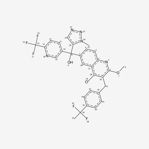 COc1nc2ccc(C(O)(c3ccc(C(F)(F)F)nc3)c3cnnn3C)cc2c(Cl)c1Cc1ccc(C(C)(F)F)cc1